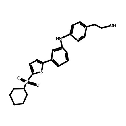 O=S(=O)(c1ccc(-c2cccc(Nc3ccc(CCO)cc3)c2)s1)C1CCCCC1